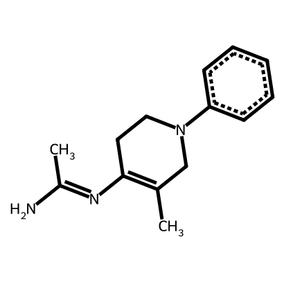 CC1=C(/N=C(\C)N)CCN(c2ccccc2)C1